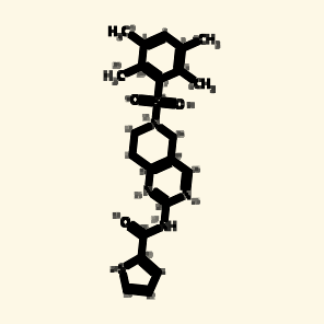 Cc1cc(C)c(C)c(S(=O)(=O)N2CCc3nc(NC(=O)c4cccs4)ncc3C2)c1C